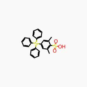 Cc1cc(S(c2ccccc2)(c2ccccc2)c2ccccc2)cc(C)c1S(=O)(=O)O